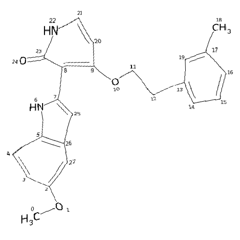 COc1ccc2[nH]c(-c3c(OCCc4cccc(C)c4)cc[nH]c3=O)cc2c1